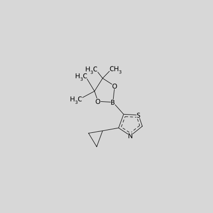 CC1(C)OB(c2scnc2C2CC2)OC1(C)C